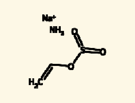 C=CO[S-](=O)=O.N.[Na+]